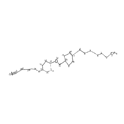 CCCCCCCC1CCC(COC2CCC(CCCCC#N)CC2)CC1